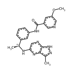 COc1cncc(C(=O)Nc2cccc([C@H](C)Nc3cnc4[nH]nc(C)c4n3)c2)c1